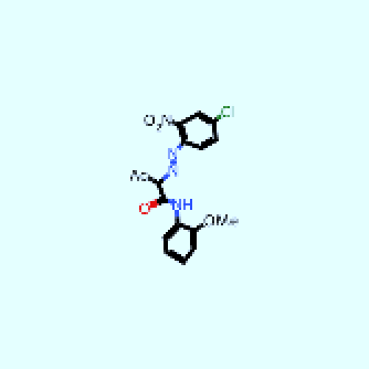 COc1ccccc1NC(=O)C(/N=N/c1ccc(Cl)cc1[N+](=O)[O-])C(C)=O